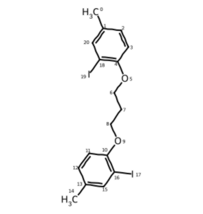 Cc1ccc(OCCCOc2ccc(C)cc2I)c(I)c1